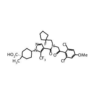 COc1cc(Cl)c(C(=O)CN(CC2(F)CCCC2)C(=O)c2cnn([C@H]3CC[C@](C)(C(=O)O)CC3)c2C(F)(F)F)c(Cl)c1